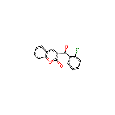 O=C(c1ccccc1Cl)c1cc2ccccc2oc1=O